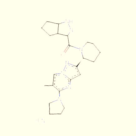 Cc1cn2nc([C@@H]3CCCCN3C(=O)C3NNC4CCCC43)cc2nc1N1CC[C@H](N)C1